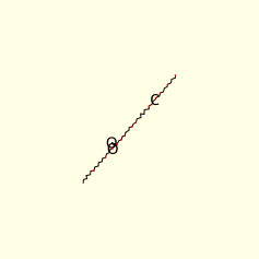 CCCCCCCCCCCCCCCCCCCCCCCCCCCCCCCCC(=O)OCCCCCCCCCCCCCCCC